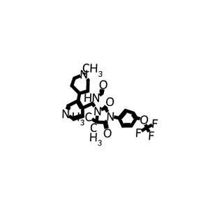 CN1CCC(c2cnccc2C(NC=O)N2C(=O)N(c3ccc(OC(F)(F)F)cc3)C(=O)C2(C)C)CC1